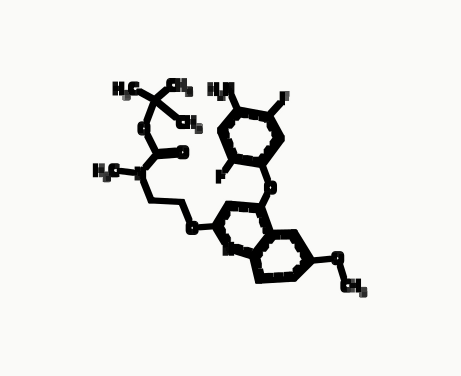 COc1ccc2nc(OCCN(C)C(=O)OC(C)(C)C)cc(Oc3cc(F)c(N)cc3F)c2c1